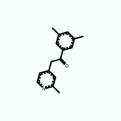 Cc1cc(C)cc(C(=O)Cc2ccnc(C)c2)c1